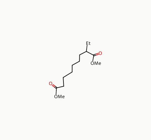 CCC(CCCCCCC(=O)OC)C(=O)OC